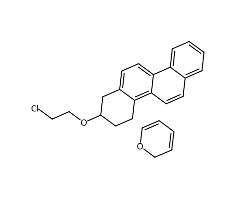 C1=CCOC=C1.ClCCOC1CCc2c(ccc3c2ccc2ccccc23)C1